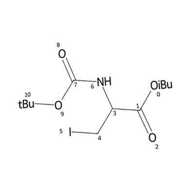 CC(C)COC(=O)C(CI)NC(=O)OC(C)(C)C